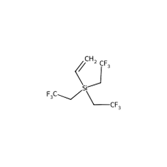 C=C[Si](CC(F)(F)F)(CC(F)(F)F)CC(F)(F)F